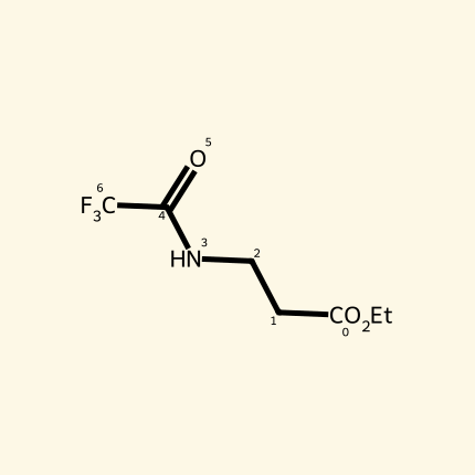 CCOC(=O)CCNC(=O)C(F)(F)F